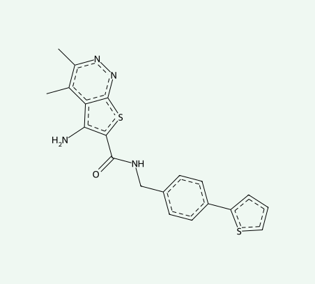 Cc1nnc2sc(C(=O)NCc3ccc(-c4cccs4)cc3)c(N)c2c1C